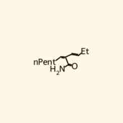 CCC=CC(=CCCCCC)C(N)=O